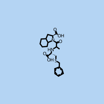 CC(N[C@H](CSCc1ccccc1)C(=O)O)C(=O)N1C2CCCCC2C[C@H]1C(=O)O